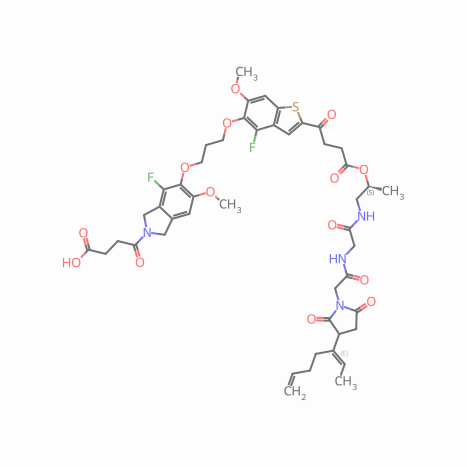 C=CCC/C(=C\C)C1CC(=O)N(CC(=O)NCC(=O)NC[C@H](C)OC(=O)CCC(=O)c2cc3c(F)c(OCCCOc4c(OC)cc5c(c4F)CN(C(=O)CCC(=O)O)C5)c(OC)cc3s2)C1=O